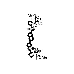 CCC(CC)[C@H](NC(=O)OC)C(=O)N1CCC[C@H]1c1ncc(-c2ccc3cc(-c4ccc5nc([C@@H]6COCCN6C(=O)[C@@H](NC(=O)OC)C(CC)CC)[nH]c5c4)ccc3c2)[nH]1